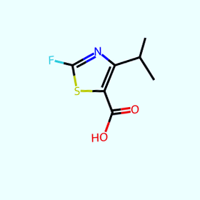 CC(C)c1nc(F)sc1C(=O)O